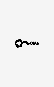 [CH2]OC=Cc1ccccc1